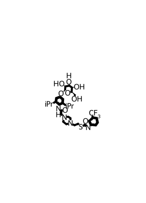 CC(C)c1cc(O[C@@H]2O[C@H](CO)[C@@H](O)[C@H](O)[C@H]2O)cc(C(C)C)c1NC(=O)CN1CCN(CCSc2nc3cccc(C(F)(F)F)c3o2)CC1